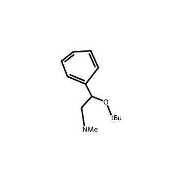 CNCC(OC(C)(C)C)c1ccccc1